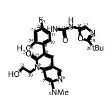 CNc1cc2c(cn1)cc(-c1cc(NC(=O)Nc3cnc(C(C)(C)C)o3)c(F)cc1C)c(=O)n2CCO